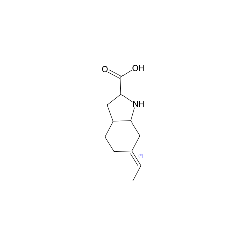 C/C=C1\CCC2CC(C(=O)O)NC2C1